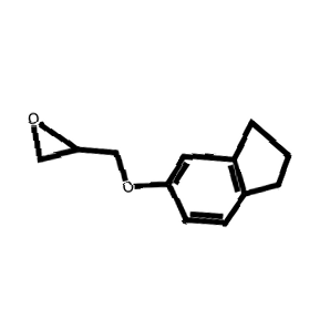 c1cc2c(cc1OCC1CO1)CCC2